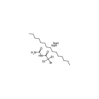 CCC(Br)(CC)C(=O)NC(N)=O.CCCCCCCCCCCCCCC.[NaH].[NaH]